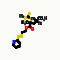 CCSC(=S)SC(C)(CC(CC)(CC)C(=O)O)C(=O)OCCSSc1ccccn1